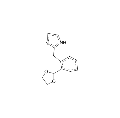 c1ccc(C2OCCO2)c(Cc2ncc[nH]2)c1